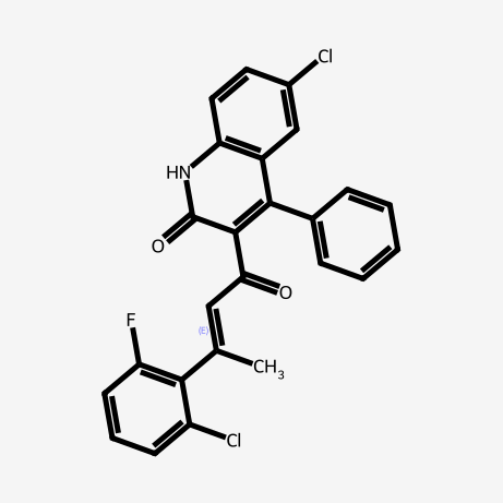 C/C(=C\C(=O)c1c(-c2ccccc2)c2cc(Cl)ccc2[nH]c1=O)c1c(F)cccc1Cl